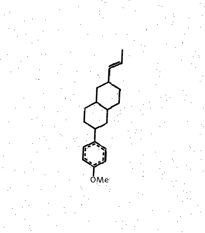 CC=CC1CCC2CC(c3ccc(OC)cc3)CCC2C1